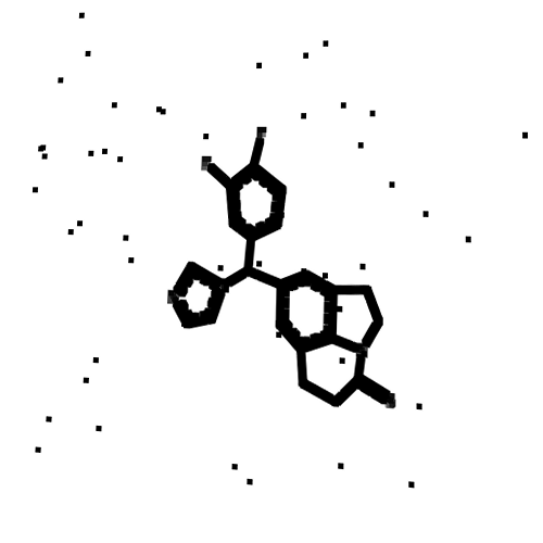 Fc1ccc(C(c2cc3c4c(c2)CCN4C(=S)CC3)n2ccnc2)cc1F